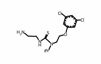 CC(C)N(CCOc1cc(Cl)cc(Cl)c1)C(=S)NCCN